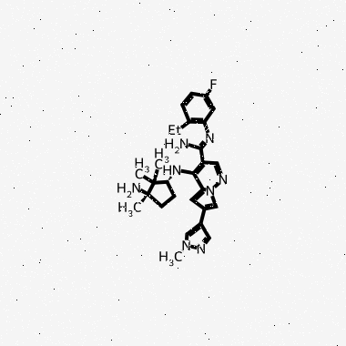 CCc1ccc(F)cc1/N=C(\N)c1cnn2cc(-c3cnn(C)c3)cc2c1N[C@@H]1CC[C@](C)(N)C1(C)C